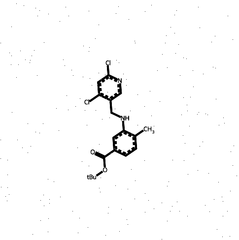 Cc1ccc(C(=O)OC(C)(C)C)cc1NCc1cnc(Cl)cc1Cl